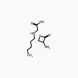 CCCCCNCC(=O)O.NC1CSC1=O